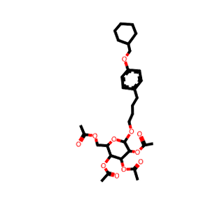 CC(=O)OCC1OC(OCCCCc2ccc(OCC3CCCCC3)cc2)C(OC(C)=O)C(OC(C)=O)C1OC(C)=O